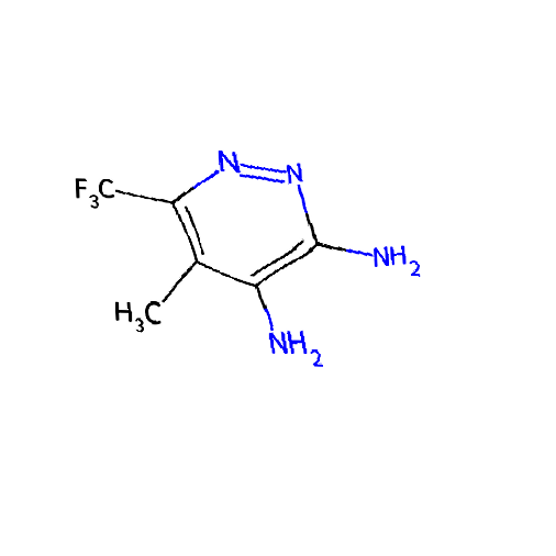 Cc1c(C(F)(F)F)nnc(N)c1N